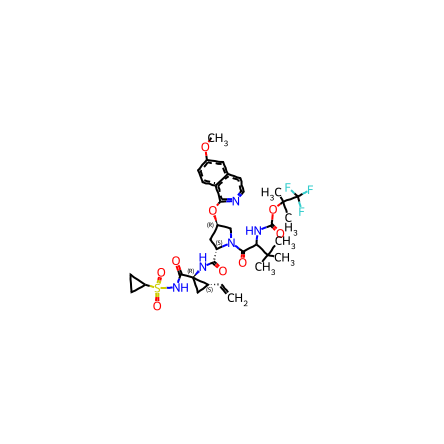 C=C[C@@H]1C[C@]1(NC(=O)[C@@H]1C[C@@H](Oc2nccc3cc(OC)ccc23)CN1C(=O)C(NC(=O)OC(C)(C)C(F)(F)F)C(C)(C)C)C(=O)NS(=O)(=O)C1CC1